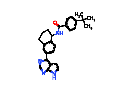 CC(C)(C)c1ccc(C(=O)NC2CCCc3cc(-c4ncnc5[nH]ccc45)ccc32)cc1